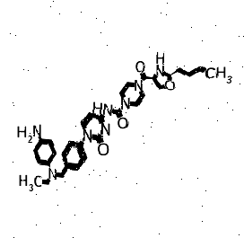 CCCC[C@@H]1N[C@H](C(=O)N2CCN(C(=O)Nc3ccn(-c4ccc(CN(CC)[C@H]5CC[C@H](N)CC5)cc4)c(=O)n3)CC2)CO1